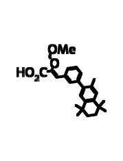 COCOC(=Cc1cccc(-c2cc3c(cc2C)C(C)(C)CCC3(C)C)c1)C(=O)O